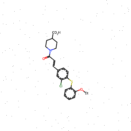 CCOc1ccccc1Sc1ccc(C=CC(=O)N2CCC(C(=O)O)CC2)cc1Cl